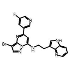 Fc1cncc(-c2cc(NCCc3c[nH]c4cccnc34)n3ncc(Br)c3n2)c1